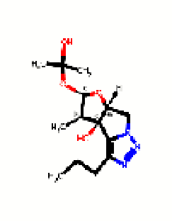 CCCc1nnn2c1[C@@]1(O)[C@@H](C2)O[C@H](OC(C)(C)O)[C@@H]1C